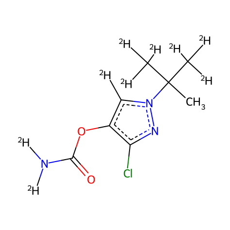 [2H]c1c(OC(=O)N([2H])[2H])c(Cl)nn1C(C)(C([2H])([2H])[2H])C([2H])([2H])[2H]